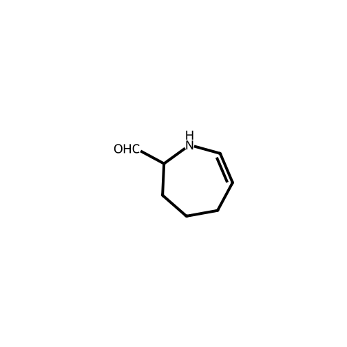 O=CC1CCCC=CN1